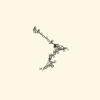 CC(C)C(NCC(=O)NCCNC(=O)CCOCCOCCOCCOCCNC(=O)CCN1C(=O)C=CC1=O)C(=O)NC(CCCNC(N)=O)C(=O)Nc1ccc(C(=O)Nc2ccc3oc(C(=O)N4C[C@@H](CCl)c5c4cc(OC(=O)N4CCN(C)CC4)c4ccccc54)cc3c2)cc1